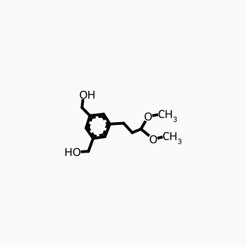 COC(CCc1cc(CO)cc(CO)c1)OC